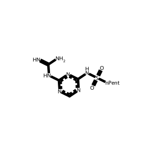 CCCCCS(=O)(=O)Nc1ncnc(NC(=N)N)n1